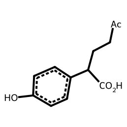 CC(=O)CCC(C(=O)O)c1ccc(O)cc1